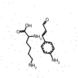 NCCCCC(N)C(=O)O.Nc1ccc(C=CC=O)cc1